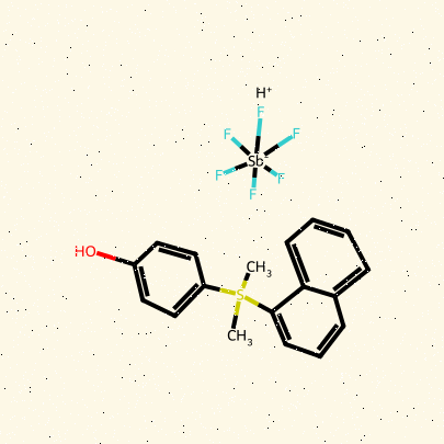 CS(C)(c1ccc(O)cc1)c1cccc2ccccc12.[F][Sb-]([F])([F])([F])([F])[F].[H+]